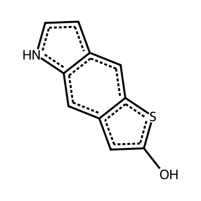 Oc1cc2cc3[nH]ccc3cc2s1